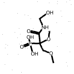 COCC(OC)(C(=O)NCO)P(=O)(O)O